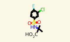 CC(C)(NS(=O)(=O)c1ccc(F)c(Cl)c1)C(=O)O